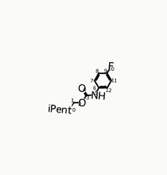 CCC[C@H](C)COC(=O)Nc1ccc(F)cc1